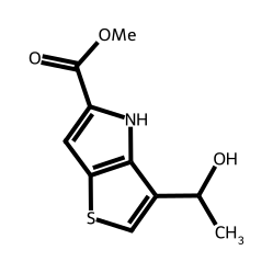 COC(=O)c1cc2scc(C(C)O)c2[nH]1